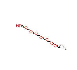 C=CCOCOCCOCCOCCOCCOCCOCCO